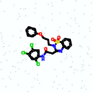 O=C(CC1=Nc2ccccc2S(=O)(=O)N1CCCOc1ccccc1)Nc1cc(Cl)c(Cl)cc1Cl